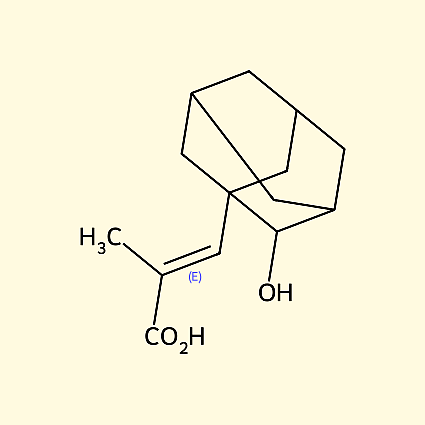 C/C(=C\C12CC3CC(CC(C3)C1O)C2)C(=O)O